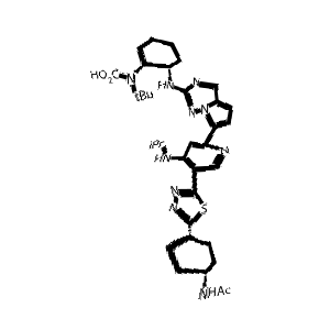 CC(=O)N[C@H]1CC[C@H](c2nnc(-c3cnc(-c4ccc5cnc(N[C@@H]6CCCC[C@@H]6N(C(=O)O)C(C)(C)C)nn45)cc3NC(C)C)s2)CC1